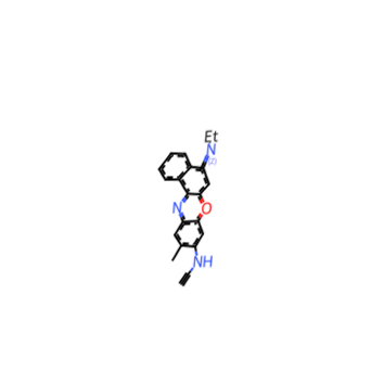 C#CNc1cc2oc3c/c(=N/CC)c4ccccc4c-3nc2cc1C